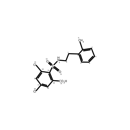 Cc1ccccc1CCNS(=O)(=O)c1c(Cl)cc(Cl)cc1C(=O)O